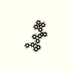 c1ccc(-c2ccc(N(c3cccc(-c4ccccc4-c4ccc5c6ccccc6n(-c6ccc7c(c6)-c6ccccc6C7(c6ccccc6)c6ccccc6)c5c4)c3)c3cccc4ccccc34)cc2)cc1